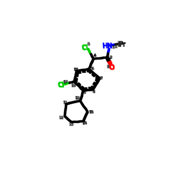 CC(C)NC(=O)C(Cl)c1ccc(C2CCCCC2)c(Cl)c1